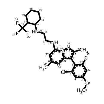 COc1cc(Cl)c(-c2c(C)nn3c(NCCNC4CCCCC4C(F)(F)F)cc(C)nc23)c(Cl)c1